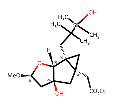 CCOC(=O)C[C@]12C[C@]3(O)C[C@@H](OC)O[C@@H]3[C@@]1(CC(C)(C)[Si](C)(C)O)C2